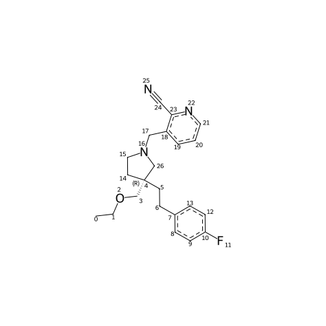 CCOC[C@]1(CCc2ccc(F)cc2)CCN(Cc2cccnc2C#N)C1